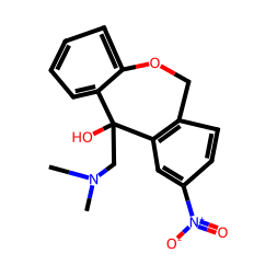 CN(C)CC1(O)c2cc([N+](=O)[O-])ccc2COc2ccccc21